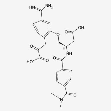 CN(C)C(=O)c1ccc(C(=O)N[C@@H](COc2cc(C(=N)N)ccc2CC(=O)C(=O)O)CC(=O)O)cc1